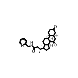 C[C@H](CC(=O)NCc1ccccn1)C1CC[C@H]2[C@@H]3C(=O)C[C@@H]4CC(=O)CC[C@]4(C)[C@H]3CC[C@]12C